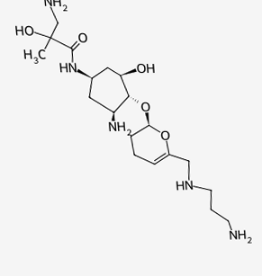 CC(O)(CN)C(=O)N[C@H]1C[C@@H](O)[C@H](O[C@@H]2CCC=C(CNCCCN)O2)[C@@H](N)C1